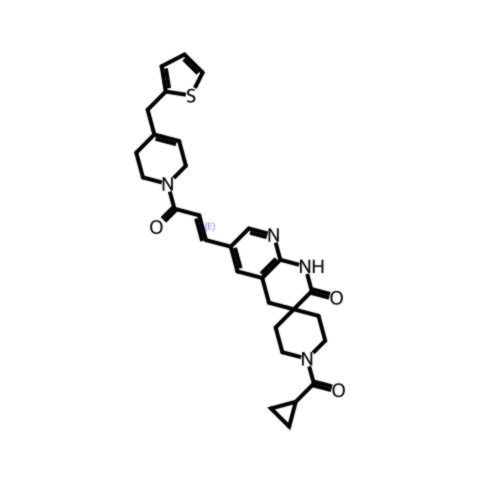 O=C(/C=C/c1cnc2c(c1)CC1(CCN(C(=O)C3CC3)CC1)C(=O)N2)N1CC=C(Cc2cccs2)CC1